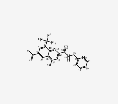 C=C(C)c1cc(C(F)(F)F)c2nc(C(=O)NCc3ccccn3)cc(C)c2c1